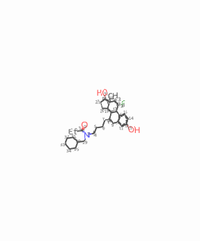 CCC(=O)N(CCCC[C@@H]1Cc2cc(O)ccc2C2C1C1CC[C@H](O)[C@@]1(C)C[C@@H]2F)CC1CCCCC1